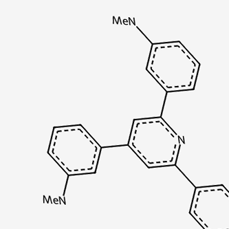 CNc1cccc(-c2cc(-c3ccccc3)nc(-c3cccc(NC)c3)c2)c1